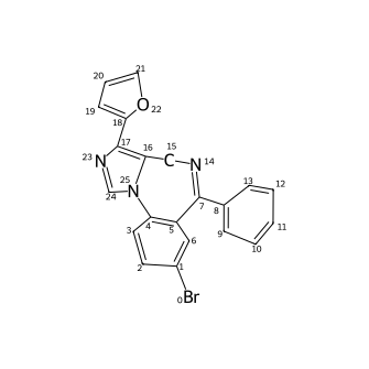 Brc1ccc2c(c1)C(c1ccccc1)=NCc1c(-c3ccco3)ncn1-2